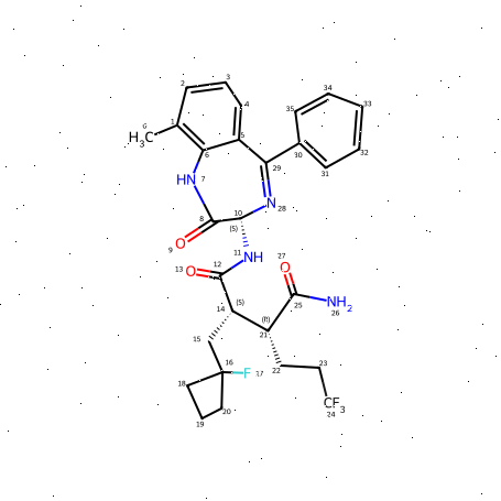 Cc1cccc2c1NC(=O)[C@@H](NC(=O)[C@@H](CC1(F)CCC1)[C@@H](CCC(F)(F)F)C(N)=O)N=C2c1ccccc1